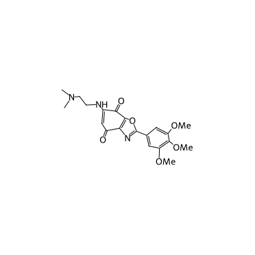 COc1cc(-c2nc3c(o2)C(=O)C(NCCN(C)C)=CC3=O)cc(OC)c1OC